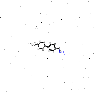 CCCCC1CCC(c2ccc(CN)cc2)CC1